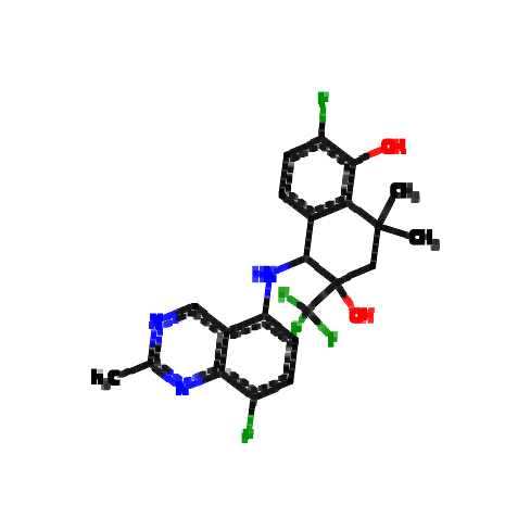 Cc1ncc2c(NC3c4ccc(F)c(O)c4C(C)(C)CC3(O)C(F)(F)F)ccc(F)c2n1